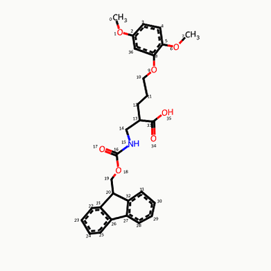 COc1ccc(OC)c(OCCCC(CNC(=O)OCC2c3ccccc3-c3ccccc32)C(=O)O)c1